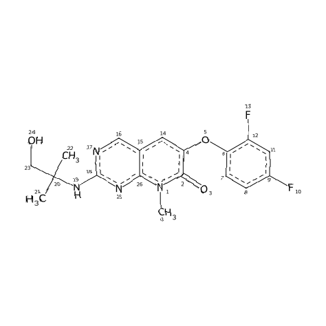 Cn1c(=O)c(Oc2ccc(F)cc2F)cc2cnc(NC(C)(C)CO)nc21